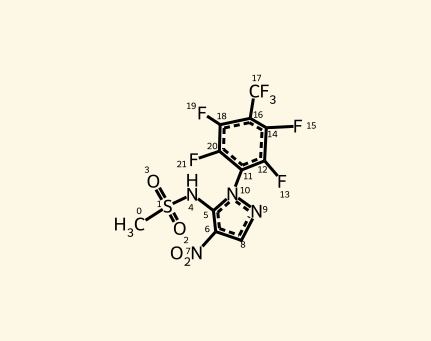 CS(=O)(=O)Nc1c([N+](=O)[O-])cnn1-c1c(F)c(F)c(C(F)(F)F)c(F)c1F